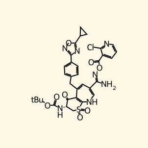 CC(C)(C)OC(=O)N[C@H]1CS(=O)(=O)C2=C(C1=O)C(Cc1ccc(-c3noc(C4CC4)n3)cc1)=CC(C(N)=NOC(=O)c1cccnc1Cl)=CN2